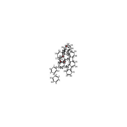 c1ccc(-c2cccc(-c3nc(-c4cccc(-c5ccccc5)c4)nc(-n4c5ccccc5c5ccc6c7ccccc7n(-c7ccccc7-c7nc8ccccc8s7)c6c54)n3)c2)cc1